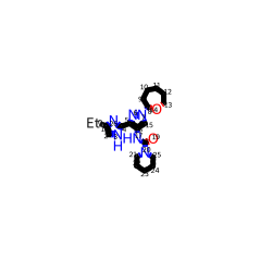 CCc1c[nH]c(-c2nn(C3CCCCCO3)cc2NC(=O)N2CCCCC2)n1